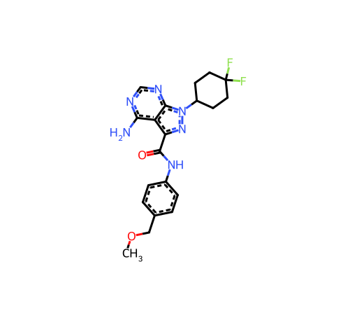 COCc1ccc(NC(=O)c2nn(C3CCC(F)(F)CC3)c3ncnc(N)c23)cc1